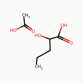 CC(=O)O.CCCC(O)C(=O)O